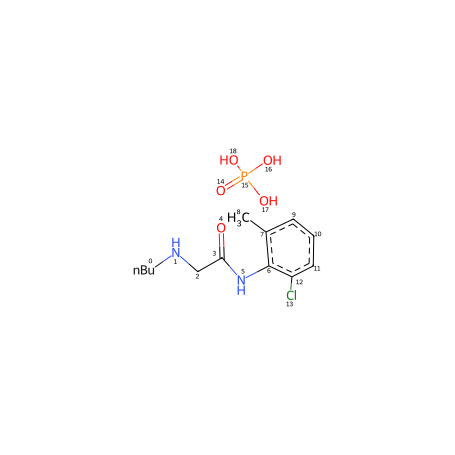 CCCCNCC(=O)Nc1c(C)cccc1Cl.O=P(O)(O)O